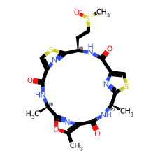 Cc1oc2nc1C(=O)N[C@H](C)c1nc(cs1)C(=O)N[C@H](CC[S+](C)[O-])c1nc(cs1)C(=O)N[C@@H]2C